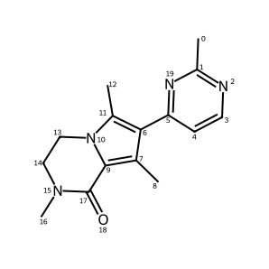 Cc1nccc(-c2c(C)c3n(c2C)CCN(C)C3=O)n1